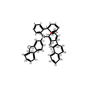 c1ccc(-c2ccccc2N(c2ccc3c(c2)oc2ccccc23)c2cccc3c2sc2c4ccccc4ccc32)cc1